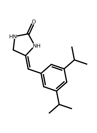 CC(C)c1cc(C=C2CNC(=O)N2)cc(C(C)C)c1